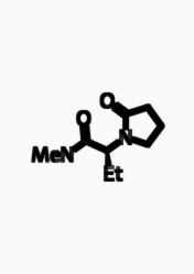 CC[C@@H](C(=O)NC)N1CCCC1=O